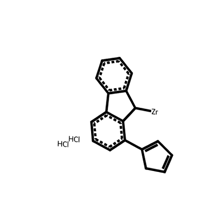 Cl.Cl.[Zr][CH]1c2ccccc2-c2cccc(C3=CC=CC3)c21